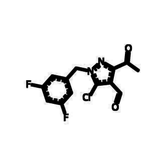 CC(=O)c1nn(Cc2cc(F)cc(F)c2)c(Cl)c1C=O